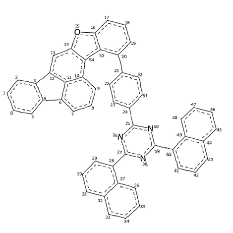 c1ccc2c(c1)-c1cccc3c1c-2cc1oc2cccc(-c4ccc(-c5nc(-c6cccc7ccccc67)nc(-c6cccc7ccccc67)n5)cc4)c2c13